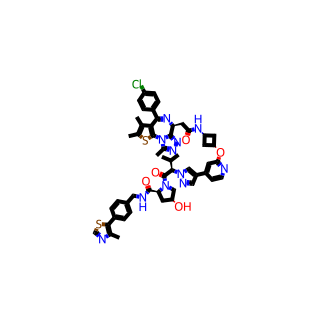 Cc1ncsc1-c1ccc(CNC(=O)[C@@H]2C[C@@H](O)CN2C(=O)[C@@H](C(C)C)n2cc(-c3ccnc(O[C@H]4C[C@@H](NC(=O)C[C@@H]5N=C(c6ccc(Cl)cc6)c6c(sc(C)c6C)-n6c(C)nnc65)C4)c3)cn2)cc1